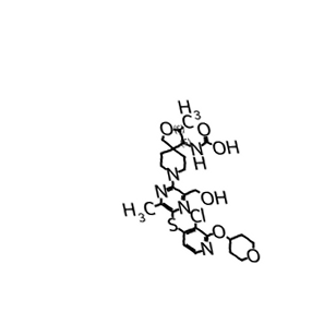 Cc1nc(N2CCC3(CC2)CO[C@@H](C)[C@H]3NC(=O)O)c(CO)nc1Sc1ccnc(OC2CCOCC2)c1Cl